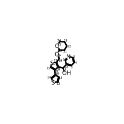 OC(c1cccnc1)c1c(-c2ccsc2)csc1COC1CCCCO1